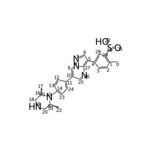 Cc1ccc(-c2cnn3cc(-c4ccc(N5[C@H](C)CNC[C@@H]5C)cc4)cnc23)cc1S(=O)O